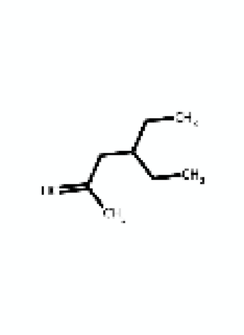 [CH]=C(C)CC(CC)CC